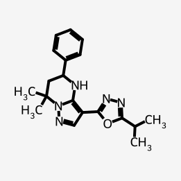 CC(C)c1nnc(-c2cnn3c2NC(c2ccccc2)CC3(C)C)o1